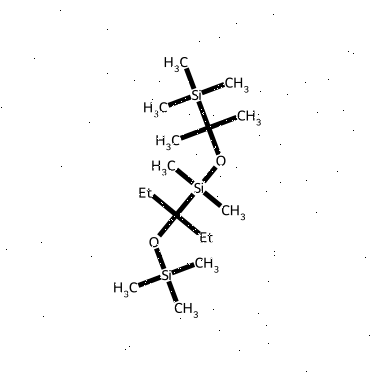 CCC(CC)(O[Si](C)(C)C)[Si](C)(C)OC(C)(C)[Si](C)(C)C